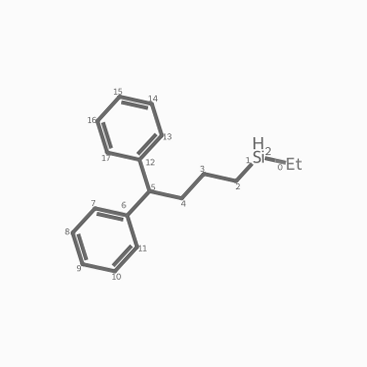 [CH2]C[SiH2]CCCC(c1ccccc1)c1ccccc1